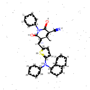 CC1=C(C#N)C(=O)N(c2ccccc2)C(=O)/C1=C/c1ccc(N(c2ccccc2)c2cccc3ccccc23)s1